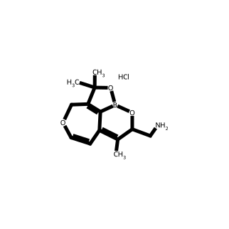 CC1=C2C=COCC3=C2B(OC1CN)OC3(C)C.Cl